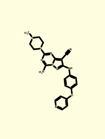 CN1CCN(c2nc(N)n3nc(Nc4ccc(Oc5ccncc5)cc4)c(C#N)c3n2)CC1